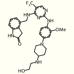 COc1cc(N2CCC(NCCO)CC2)ccc1Nc1ncc(C(F)(F)F)c(NCc2cccc3c2CC(=O)N3)n1